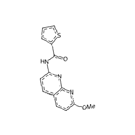 COc1ccc2ccc(NC(=O)c3cccs3)nc2n1